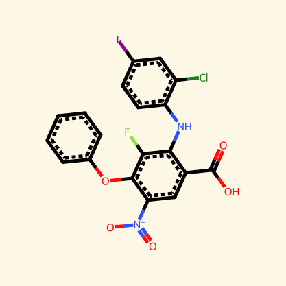 O=C(O)c1cc([N+](=O)[O-])c(Oc2ccccc2)c(F)c1Nc1ccc(I)cc1Cl